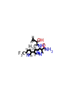 C[C@@H](Nc1c(C(N)=O)cnn2cc(-c3ccc(C(F)(F)F)nc3)cc12)C(O)C1CC1